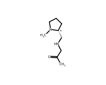 CC(=O)CNC[C@H]1CCCN1C